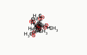 CC=CC(=O)OCCC[Si](O[Si](C)(C)CCCOC(C)=O)(O[Si](C)(C)CCCOC(C)=O)O[Si](C)(C)CCCOC(C)=O